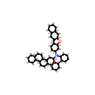 c1ccc(-c2ccccc2N(c2ccc3c(c2)oc2cc4ccccc4cc23)c2ccc3ccc4c5ccccc5ccc4c3c2)cc1